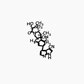 Cc1cc(-c2ccnc3[nH]cc(C#N)c23)cc(F)c1[C@@]1(O)[C@H](C)CN(C(=O)[C@H](CO)N(C)C)C[C@@H]1C